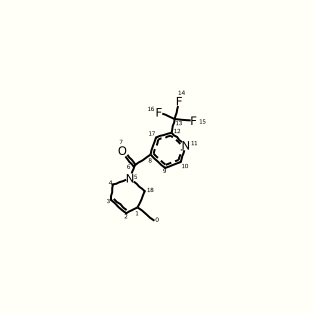 CC1C=CCN(C(=O)c2ccnc(C(F)(F)F)c2)C1